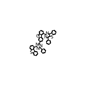 c1ccc(-c2nc(-c3ccc4c(c3)oc3cccc(-c5nc(-c6ccccc6)c6sc7ccccc7c6n5)c34)nc(-c3cccc4sc5ccccc5c34)n2)cc1